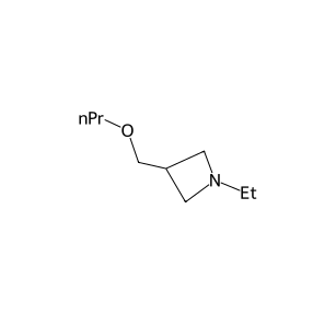 CCCOCC1CN(CC)C1